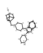 CC1(C)C2C[C@@H]1CC=C2CN1CCC(n2c([C@@H]3CCCNC3)nc3ccccc32)CC1